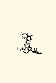 CNC(=O)Cc1cc2nn(Cc3ncc(C)c(OC)c3Br)nc3c-2c1CSN=C3N